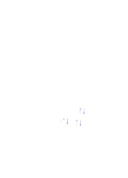 CCCCCCC(C)(CCCC)c1cn(C(C)C)nn1